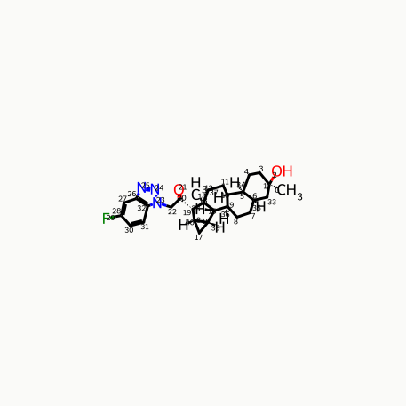 C[C@@]1(O)CC[C@H]2[C@H](CC[C@@H]3[C@@H]2CC[C@@]2(C)[C@H]3[C@@H]3C[C@@H]3[C@@H]2C(=O)Cn2nnc3cc(F)ccc32)C1